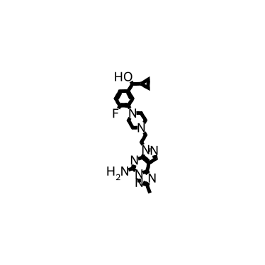 Cc1nc2c3cnn(CCN4CCN(c5cc(C(O)C6CC6)ccc5F)CC4)c3nc(N)n2n1